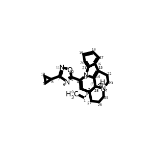 CC[C@@]12C=C(c3nc(C4CC4)no3)n3c4c(c5ccccc53)CCN(CCC1)[C@H]42